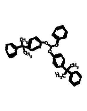 CC(C)(c1ccccc1)c1ccc(OC(Oc2ccccc2)Oc2ccc(C(C)(C)c3ccccc3)cc2)cc1